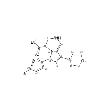 CCC(=O)C1CNC=C2C(N3CCOCC3)=NC(c3ccc(C)cc3)N21